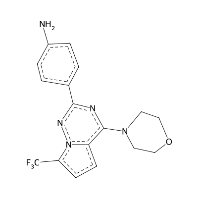 Nc1ccc(-c2nc(N3CCOCC3)c3ccc(C(F)(F)F)n3n2)cc1